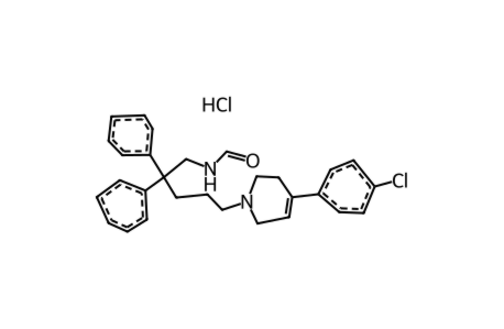 Cl.O=CNCC(CCCN1CC=C(c2ccc(Cl)cc2)CC1)(c1ccccc1)c1ccccc1